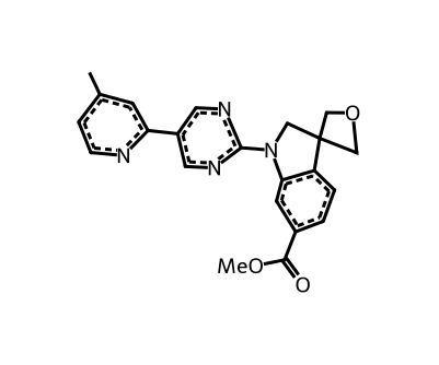 COC(=O)c1ccc2c(c1)N(c1ncc(-c3cc(C)ccn3)cn1)CC21COC1